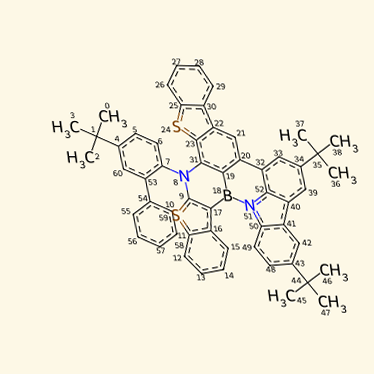 CC(C)(C)c1ccc(N2c3sc4ccccc4c3B3c4c(cc5c(sc6ccccc65)c42)-c2cc(C(C)(C)C)cc4c5cc(C(C)(C)C)ccc5n3c24)c(-c2ccccc2)c1